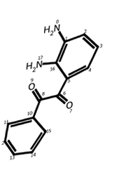 Nc1cccc(C(=O)C(=O)c2ccccc2)c1N